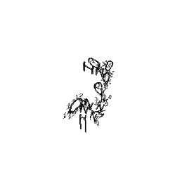 CC1CN(c2scnc2-c2nc3ccccc3[nH]2)CCN1C(=O)Cc1ccc2c(c1)NC(=O)CO2